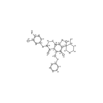 O=C1c2c(OCc3ccccc3)c(=O)c3c(n2CCN1Cc1ccc(F)c(Cl)c1)COC31CCCCC1I